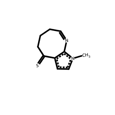 Cn1ccc2c1/N=C\CCCC2=S